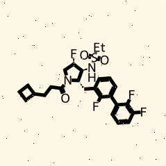 CCS(=O)(=O)N[C@H]1[C@@H](F)CN(C(=O)CCC2CCC2)[C@H]1Cc1cccc(-c2cccc(F)c2F)c1F